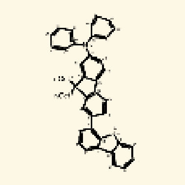 CCCCCCCCC1(CCCCCCCC)c2cc(-c3cccc4c3[nH]c3ccccc34)ccc2-c2ccc(N(c3ccccc3)c3ccccc3)cc21